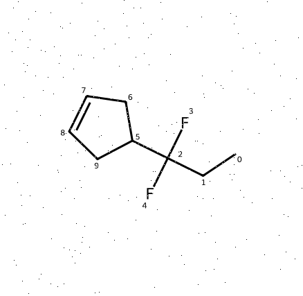 CCC(F)(F)C1CC=CC1